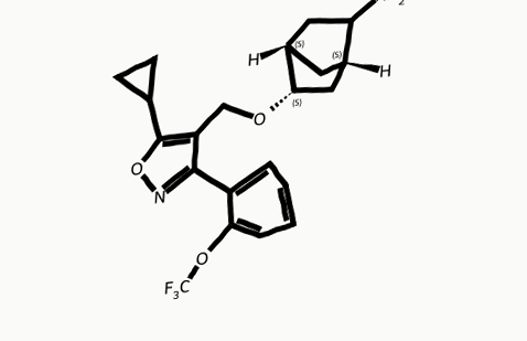 NC1C[C@@H]2C[C@H]1C[C@@H]2OCc1c(-c2ccccc2OC(F)(F)F)noc1C1CC1